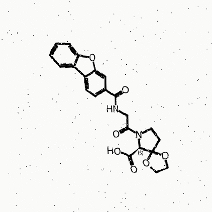 O=C(NCC(=O)N1CCC2(OCCO2)[C@H]1C(=O)O)c1ccc2c(c1)oc1ccccc12